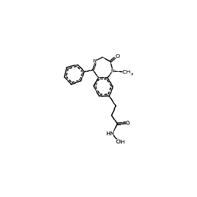 CN1C(=O)CN=C(c2ccccc2)c2ccc(CCC(=O)NO)cc21